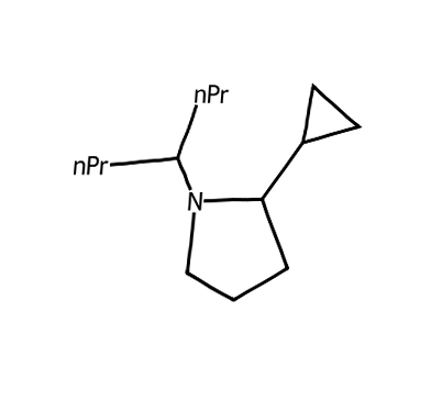 CCCC(CCC)N1CCCC1C1CC1